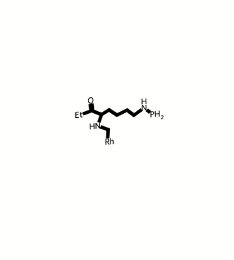 CCC(=O)C(CCCCNP)N[CH2][Rh]